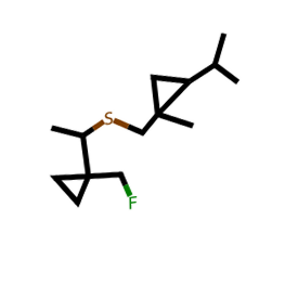 CC(C)C1CC1(C)CSC(C)C1(CF)CC1